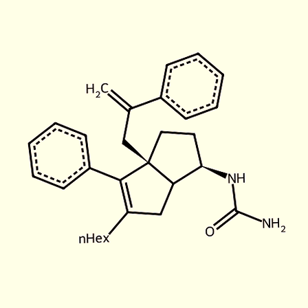 C=C(C[C@@]12CC[C@@H](NC(N)=O)C1CC(CCCCCC)=C2c1ccccc1)c1ccccc1